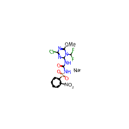 COC1=NC(Cl)=NC(NC(=O)NS(=O)(=O)c2ccccc2[N+](=O)[O-])N1C(F)F.[Na]